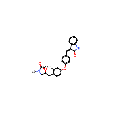 CCN1CC(Cc2ccc(Oc3ccc(C=C4C(=O)Nc5ccccc54)cc3)cc2OC)OC1=O